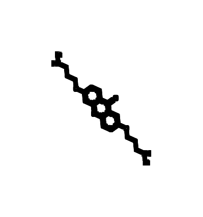 CCNCCCOc1ccc2c(=O)c3cc(OCCCNCC)ccc3oc2c1